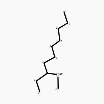 CCCCCCCC(CC)OC